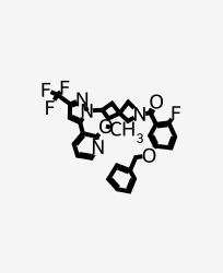 COc1ncccc1-c1cc(C(F)(F)F)nn1C1CC2(C1)CN(C(=O)c1cc(OCc3ccccc3)ccc1F)C2